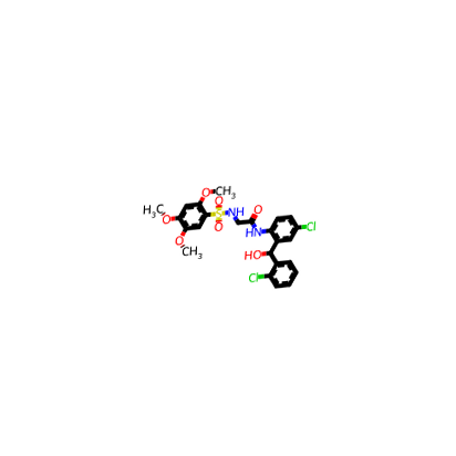 COc1cc(OC)c(S(=O)(=O)NCC(=O)Nc2ccc(Cl)cc2C(O)c2ccccc2Cl)cc1OC